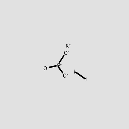 II.[K+].[O-][I+2]([O-])[O-]